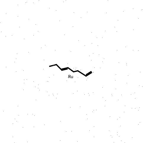 [CH]=CCCC=CCC.[Ru]